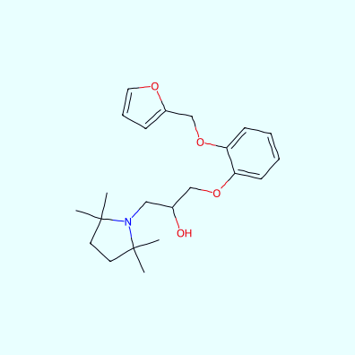 CC1(C)CCC(C)(C)N1CC(O)COc1ccccc1OCc1ccco1